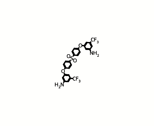 Nc1cc(Oc2ccc(S(=O)(=O)c3ccc(Oc4cc(N)cc(C(F)(F)F)c4)cc3)cc2)cc(C(F)(F)F)c1